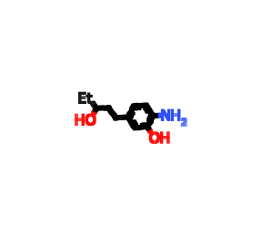 CCC(O)CCc1ccc(N)c(O)c1